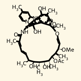 CO[C@H]1/C=C/O[C@@]2(C)Oc3c(C)c(O)c4c(O)c(c5c(c4c3C2=O)NC2C=C(C)C=CN52)NC(=O)/C(C)=C\C=C\[C@H](C)[C@H](O)[C@@H](C)[C@@H](O)[C@@H](C)[C@H](OC(C)=O)C1C